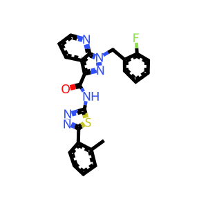 Cc1ccccc1-c1nnc(NC(=O)c2nn(Cc3ccccc3F)c3ncccc23)s1